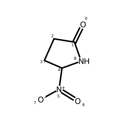 O=C1C[CH]C([N+](=O)[O-])N1